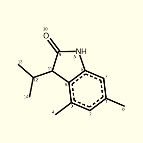 Cc1cc(C)c2c(c1)NC(=O)C2C(C)C